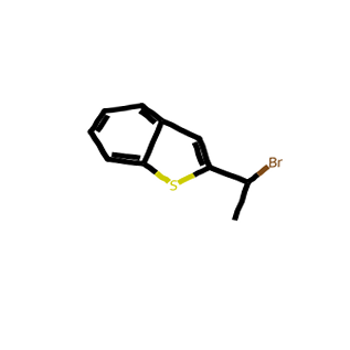 CC(Br)c1cc2ccccc2s1